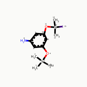 CCCC[Si](C)(C)Oc1cc(N)cc(O[Si](C)(C)I)c1